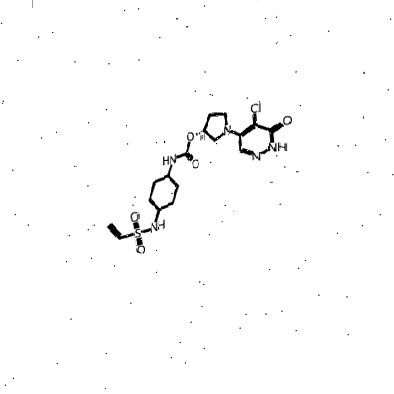 C=CS(=O)(=O)NC1CCC(NC(=O)O[C@@H]2CCN(c3cn[nH]c(=O)c3Cl)C2)CC1